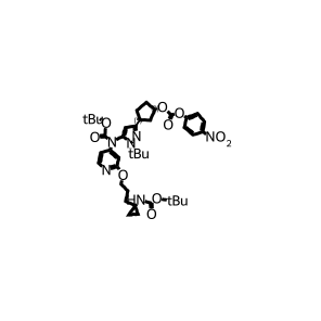 CC(C)(C)OC(=O)NC1(CCCOc2cc(N(C(=O)OC(C)(C)C)c3cc([C@H]4CC[C@@H](OC(=O)Oc5ccc([N+](=O)[O-])cc5)C4)nn3C(C)(C)C)ccn2)CC1